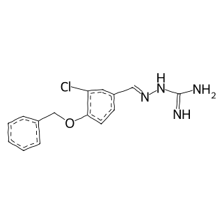 N=C(N)NN=Cc1ccc(OCc2ccccc2)c(Cl)c1